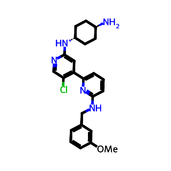 COc1cccc(CNc2cccc(-c3cc(N[C@H]4CC[C@H](N)CC4)ncc3Cl)n2)c1